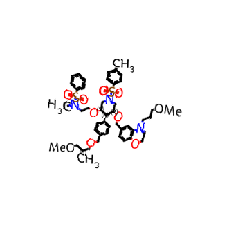 COCCCN1CCOc2ccc(CO[C@H]3CN(S(=O)(=O)c4ccc(C)cc4)C[C@@H](OCCN(C)S(=O)(=O)c4ccccc4)[C@@H]3c3ccc(COC[C@@H](C)COC)cc3)cc21